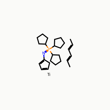 C1=CCC(N=P(C2CCCC2)(C2CCCC2)C2CCCC2)=C1.CC=CC=CC.[Ti]